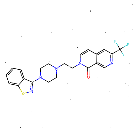 O=c1c2cnc(C(F)(F)F)cc2ccn1CCN1CCN(c2nsc3ccccc23)CC1